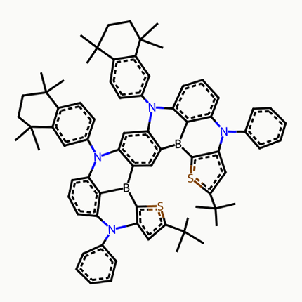 CC(C)(C)c1cc2c(s1)B1c3cc4c(cc3N(c3ccc5c(c3)C(C)(C)CCC5(C)C)c3cccc(c31)N2c1ccccc1)N(c1ccc2c(c1)C(C)(C)CCC2(C)C)c1cccc2c1B4c1sc(C(C)(C)C)cc1N2c1ccccc1